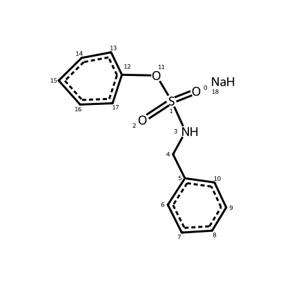 O=S(=O)(NCc1ccccc1)Oc1ccccc1.[NaH]